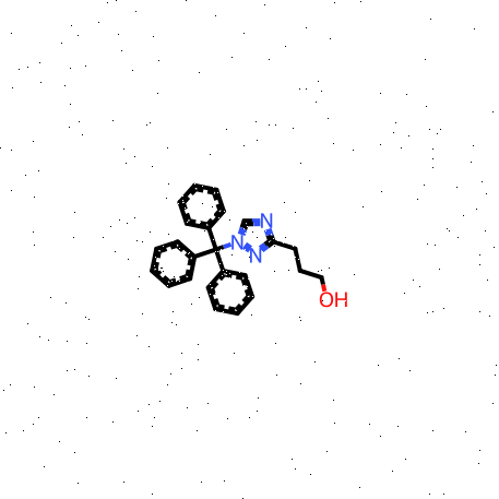 OCCCc1ncn(C(c2ccccc2)(c2ccccc2)c2ccccc2)n1